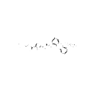 COc1cccc(Oc2ccc(F)cc2NC(=O)Nc2nc(C(=O)NCC(=O)O)cs2)c1OC